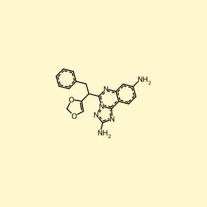 Nc1ccc2c(c1)nc(C(Cc1ccccc1)C1=COCO1)n1nc(N)nc21